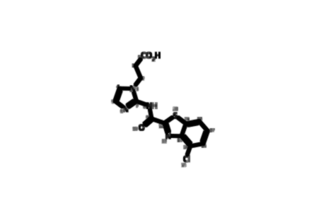 O=C(O)CCn1ccnc1NC(=O)c1nc2c(Cl)cccc2s1